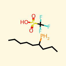 CCCCCC(P)CCC.O=S(=O)(O)C(F)(F)F